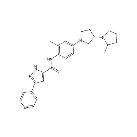 Cc1cc(N2CCC(N3CCCC3C)C2)ccc1NC(=O)c1cc(-c2ccncc2)n[nH]1